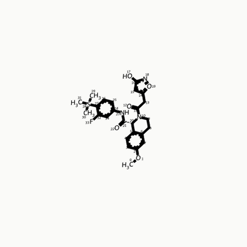 COc1ccc2c(c1)CCN(C(=O)Cc1cc(O)no1)[C@H]2C(=O)Nc1ccc(S(C)(C)C)c(F)c1